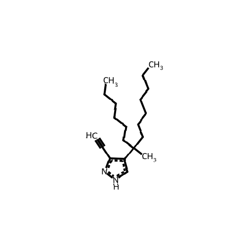 C#Cc1n[nH]cc1C(C)(CCCCCC)CCCCCCC